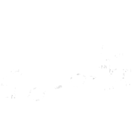 CO[C@H]1CCN(Cc2ccc(C#Cc3ccc([C@H](CN[C@@H](C)CF)Cc4nc[nH]c(=O)c4O)cc3)cc2)C1